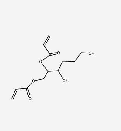 C=CC(=O)OCC(OC(=O)C=C)C(O)CCCO